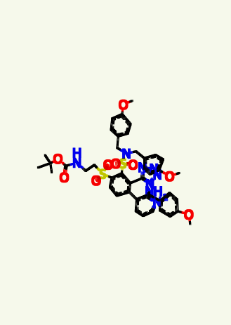 COc1ccc(CN(Cc2ccc(OC)cc2)S(=O)(=O)c2c(S(=O)(=O)CCNC(=O)OC(C)(C)C)ccc(-c3cccnc3N)c2-c2nnnn2Cc2ccc(OC)cc2)cc1